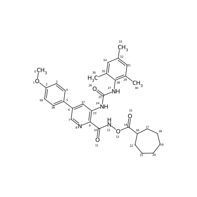 COc1ccc(-c2cnc(C(=O)NOC(=O)C3CCCCCC3)c(NC(=O)Nc3c(C)cc(C)cc3C)c2)cc1